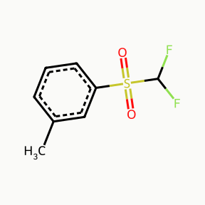 Cc1cccc(S(=O)(=O)C(F)F)c1